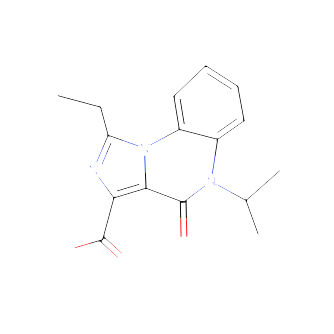 CCc1nc(C(=O)O)c2c(=O)n(C(C)C)c3ccccc3n12